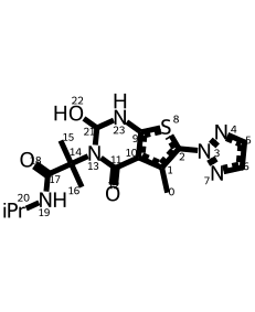 Cc1c(-n2nccn2)sc2c1C(=O)N(C(C)(C)C(=O)NC(C)C)C(O)N2